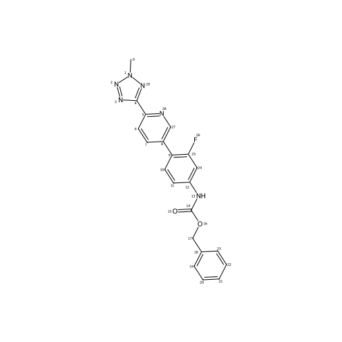 Cn1nnc(-c2ccc(-c3ccc(NC(=O)OCc4ccccc4)cc3F)cn2)n1